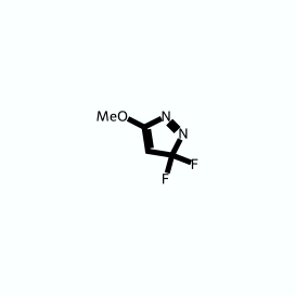 COC1=CC(F)(F)N=N1